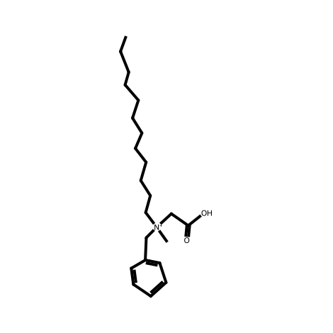 CCCCCCCCCCCC[N+](C)(CC(=O)O)Cc1ccccc1